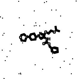 CC(C)OCCOc1nn(C2CCC(N3CCOCC3)CC2)cc1NC(=O)OCc1ccccc1